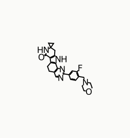 O=C1NC2(CC2)Cc2[nH]c3c(c21)CCc1cnc(-c2ccc(CN4CCOCC4)c(F)c2)nc1-3